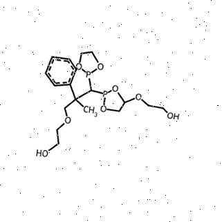 CC(COCCO)(c1ccccc1)C(P1OCCO1)P1OCC(OCCO)O1